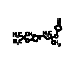 CC(C)(C)OC1CN(CCC(C)(C)OC2CNC2)C1